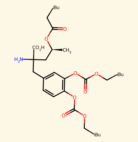 CCC(C)COC(=O)Oc1ccc(CC(N)(C[C@H](C)OC(=O)CC(C)CC)C(=O)O)cc1OC(=O)OCC(C)CC